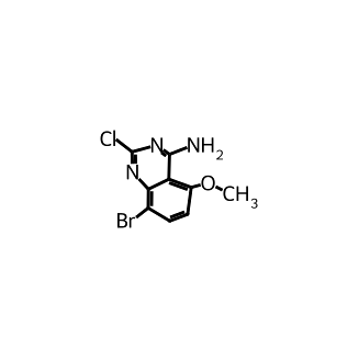 COc1ccc(Br)c2nc(Cl)nc(N)c12